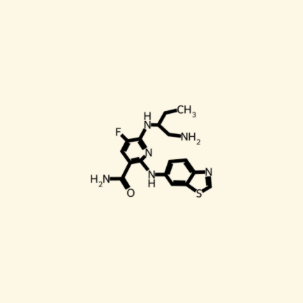 CCC(CN)Nc1nc(Nc2ccc3ncsc3c2)c(C(N)=O)cc1F